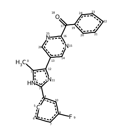 Cc1[nH]c(-c2cccc(F)c2)nc1-c1cnc(C(=O)c2ccccc2)nc1